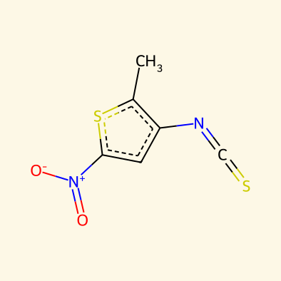 Cc1sc([N+](=O)[O-])cc1N=C=S